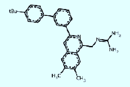 Cc1cc2cc(-c3cccc(-c4ccc(C(C)(C)C)cc4)c3)nc(CN=C(N)N)c2cc1C